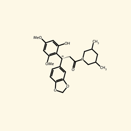 COc1cc(O)c([C@H](CC(=O)N2CC(C)CC(C)C2)c2ccc3c(c2)OCO3)c(OC)c1